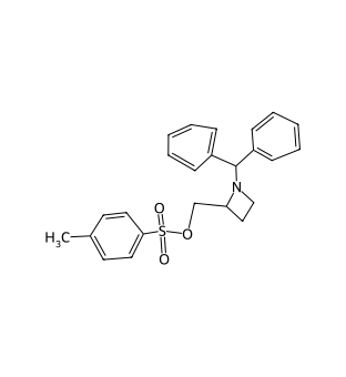 Cc1ccc(S(=O)(=O)OCC2CCN2C(c2ccccc2)c2ccccc2)cc1